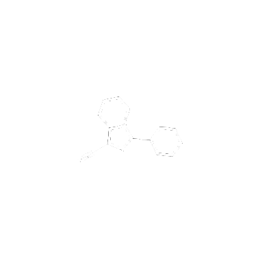 N#Cc1nc(-c2ccccc2)n2ccccc12